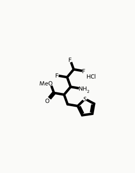 COC(=O)C(Cc1cccs1)C(N)C(F)C(F)F.Cl